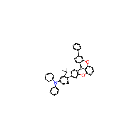 CC1(C)c2cc(N(C3=CC=CCC3)c3ccccc3)ccc2-c2cc3c(cc21)B1c2ccc(-c4ccccc4)cc2Oc2cccc(c21)O3